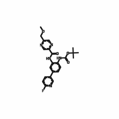 COCc1cnc(C(=O)Nc2cc(-c3ccc(F)nc3)ccc2NC(=O)OC(C)(C)C)cn1